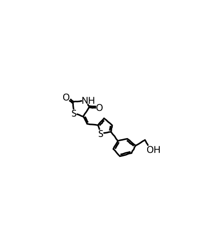 O=C1NC(=O)/C(=C\c2ccc(-c3cccc(CO)c3)s2)S1